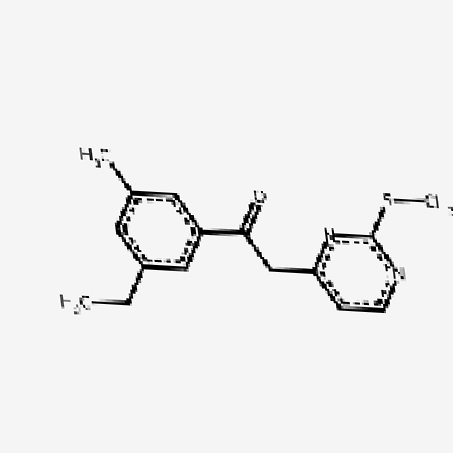 CCc1cc(C)cc(C(=O)Cc2ccnc(SC)n2)c1